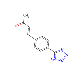 CC(=O)C=Cc1ccc(-c2nnn[nH]2)cc1